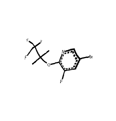 CC(C)(Oc1ncc(Br)cc1F)C(F)(F)F